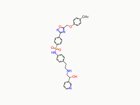 CC(=O)Oc1ccc(OCc2nc(-c3ccc(S(=O)(=O)Nc4ccc(CCNCC(O)c5cccnc5)cc4)cc3)no2)cc1